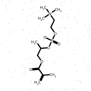 C=C(C)C(=O)OCC(C)OP(=O)([O-])OCC[N+](C)(C)C